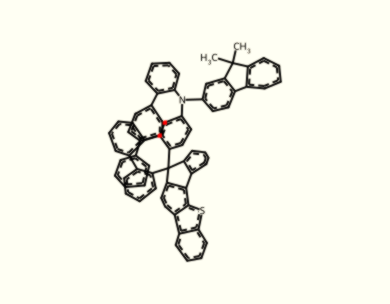 CC1(C)c2ccccc2-c2ccc(N(c3ccc4c(c3)-c3ccccc3-c3ccccc3C43c4ccccc4-c4c3ccc3c4sc4ccccc43)c3ccccc3-c3ccc(-c4ccccc4)cc3)cc21